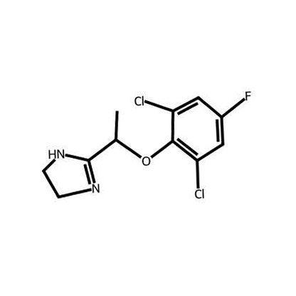 CC(Oc1c(Cl)cc(F)cc1Cl)C1=NCCN1